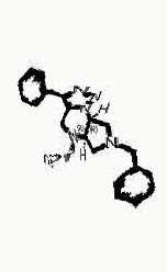 CCCN1Cc2c(-c3ccccc3)nnn2[C@@H]2CN(Cc3ccccc3)C[C@H]21